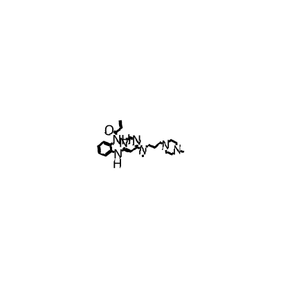 C=CC(=O)Nc1ccccc1Nc1cc(N(C)CCCN2CCN(C)CC2)ncn1